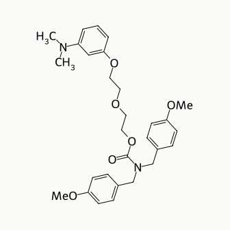 COc1ccc(CN(Cc2ccc(OC)cc2)C(=O)OCCOCCOc2cccc(N(C)C)c2)cc1